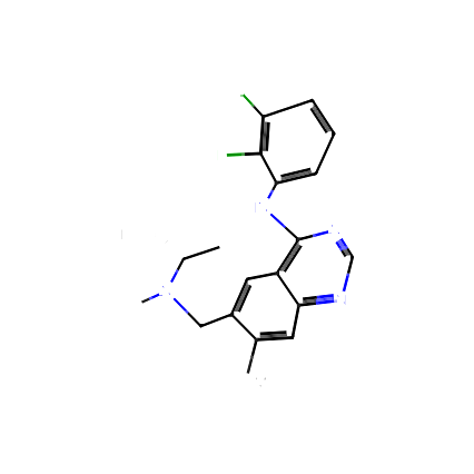 COc1cc2ncnc(Nc3cccc(Cl)c3F)c2cc1CN(C(C)C)[C@@H](C)C(=O)O